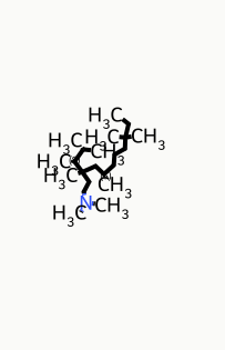 CCC(C)(C)CCC[C@H](C)CC(C)(CCN(C)C)[C@@H](C)C(C)C